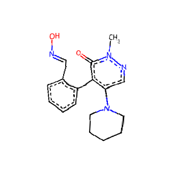 Cn1ncc(N2CCCCC2)c(-c2ccccc2C=NO)c1=O